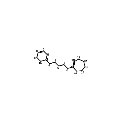 C1=CCC(CCCCCC2=CCCCCC2)CC1